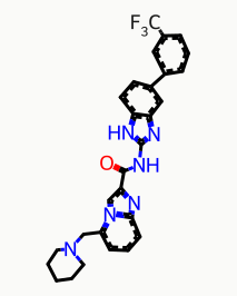 O=C(Nc1nc2cc(-c3cccc(C(F)(F)F)c3)ccc2[nH]1)c1cn2c(CN3CCCCC3)cccc2n1